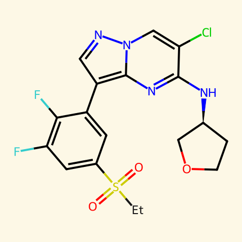 CCS(=O)(=O)c1cc(F)c(F)c(-c2cnn3cc(Cl)c(N[C@H]4CCOC4)nc23)c1